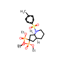 CCOP(=O)(OCC)C1(P(=O)(OCC)OCC)C[C@@H]2CCCN(S(=O)(=O)c3ccc(C)cc3)[C@@H]2C1